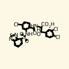 O=C(NC(C(=O)O)C(O)c1ccc(Cl)c(Cl)c1)c1ccc(Cl)cc1NS(=O)(=O)c1cccc2nsnc12